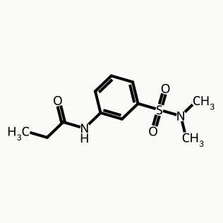 CCC(=O)Nc1cccc(S(=O)(=O)N(C)C)c1